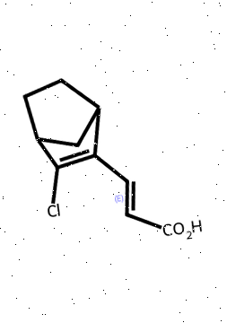 O=C(O)/C=C/C1=C(Cl)C2CCC1C2